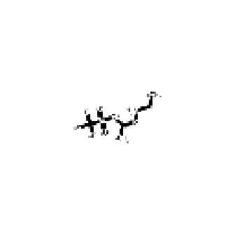 CC[SiH2]OC(C)OS(=O)(=O)C(F)(F)F